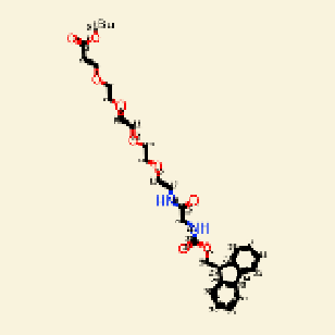 CC(C)(C)OC(=O)CCOCCOCCOCCOCCNC(=O)CNC(=O)OCC1c2ccccc2-c2ccccc21